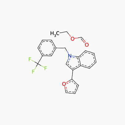 CCOC=O.FC(F)(F)c1cccc(Cn2cc(-c3ccco3)c3ccccc32)c1